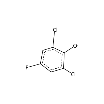 [O]c1c(Cl)cc(F)cc1Cl